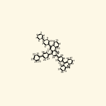 C1=CC(c2ccccc2)CC=C1c1cc2c(-c3ccc(-c4ccccc4)cc3)cc(-c3ccc(-c4c5ccccc5nc5ccccc45)cc3)nc2c2ccccc12